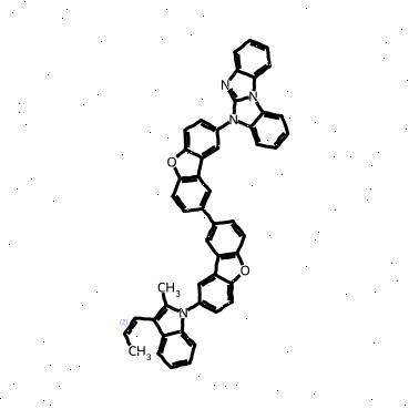 C/C=C\c1c(C)n(-c2ccc3oc4ccc(-c5ccc6oc7ccc(-n8c9ccccc9n9c%10ccccc%10nc89)cc7c6c5)cc4c3c2)c2ccccc12